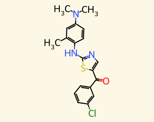 Cc1cc(N(C)C)ccc1Nc1ncc(C(=O)c2cccc(Cl)c2)s1